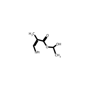 CCCC=C(C)C(=O)OC(C)O